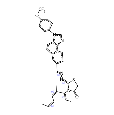 C\C=C/C=C(C)\C(=C\C)N1C(=O)CS/C1=N\N=C\c1ccc2c(ccc3c2ncn3-c2ccc(OC(F)(F)F)cc2)c1